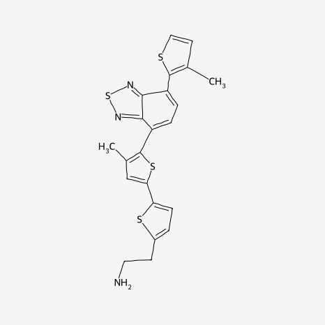 Cc1ccsc1-c1ccc(-c2sc(-c3ccc(CCN)s3)cc2C)c2nsnc12